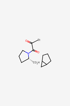 C1CC2CC2C1.CCC(=O)C(=O)N1CCC[C@H]1C(=O)O